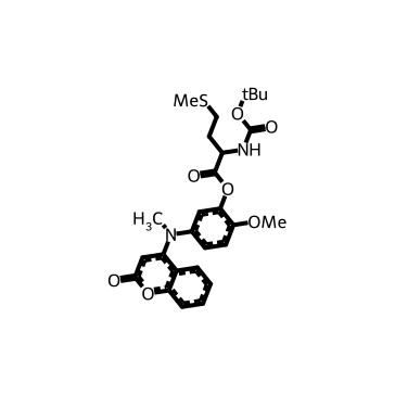 COc1ccc(N(C)c2cc(=O)oc3ccccc23)cc1OC(=O)C(CCSC)NC(=O)OC(C)(C)C